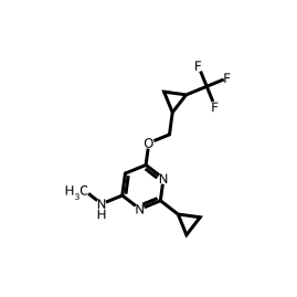 CNc1cc(OCC2CC2C(F)(F)F)nc(C2CC2)n1